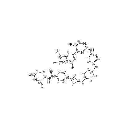 Cc1nc2c(F)cc(-c3nc(Nc4ccc(CC5CCN(CC6CN(c7ccc(C(=O)NC8CCC(=O)NC8=O)cc7)C6)CC5)cn4)ncc3F)cc2n1C(C)C